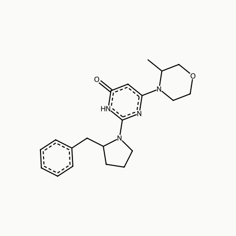 CC1COCCN1c1cc(=O)[nH]c(N2CCCC2Cc2ccccc2)n1